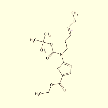 CCOC(=O)c1ccc(N(CC/C=C/OC)C(=O)OC(C)(C)C)s1